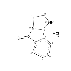 Cl.O=C1c2ccccc2C2NCCN12